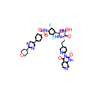 Cn1c(=O)n(-c2ccc(CC[C@H](NC(=O)c3cc(F)c(NS(=O)(=O)c4ccc(-c5cnc(C6CCOCC6)nc5)cc4)cc3F)C(=O)NO)cn2)c(=O)c2ccncc21